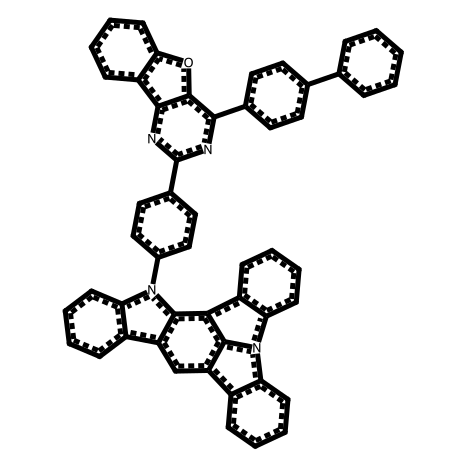 c1ccc(-c2ccc(-c3nc(-c4ccc(-n5c6ccccc6c6cc7c8ccccc8n8c9ccccc9c(c65)c78)cc4)nc4c3oc3ccccc34)cc2)cc1